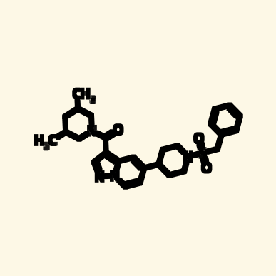 CC1CC(C)CN(C(=O)c2cnn3ccc(C4CCN(S(=O)(=O)Cc5ccccc5)CC4)cc23)C1